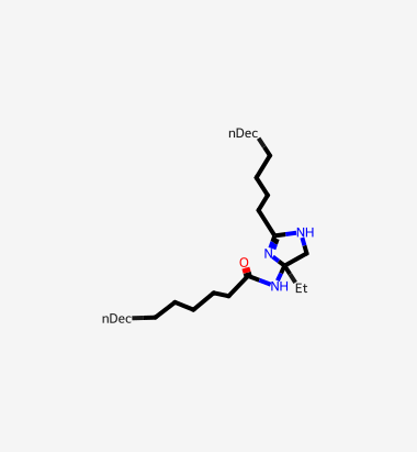 CCCCCCCCCCCCCCCC(=O)NC1(CC)CNC(CCCCCCCCCCCCCC)=N1